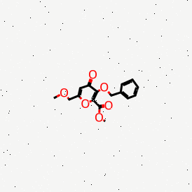 COCc1cc(=O)c(OCc2ccccc2)c(C(=O)OC)o1